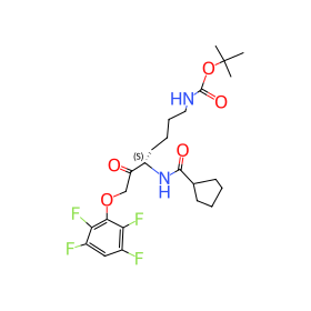 CC(C)(C)OC(=O)NCCCC[C@H](NC(=O)C1CCCC1)C(=O)COc1c(F)c(F)cc(F)c1F